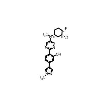 CC[C@@H]1C[C@@H](N(C)c2cnc(-c3ccc(-c4cnn(C)c4)cc3O)nn2)CC[C@@H]1F